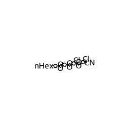 CCCCCCc1ccc(C(=O)Oc2ccc(C(=O)Oc3ccc(C(=O)Oc4ccc(C#N)c(Cl)c4)c(Cl)c3)cc2)cc1